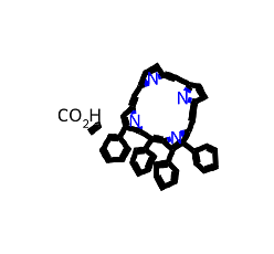 C1=CC2=NC1=CC1=NC(=C(c3ccccc3)C3=NC(=CC4=NC(=C2)C=C4)C=C3c2ccccc2)C(c2ccccc2)=C1c1ccccc1.C=CC(=O)O